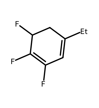 CCC1=CC(F)=C(F)C(F)C1